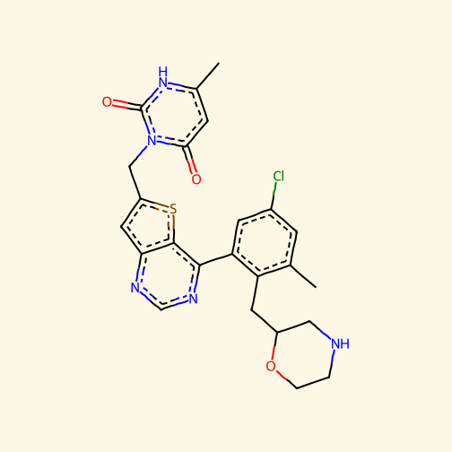 Cc1cc(=O)n(Cc2cc3ncnc(-c4cc(Cl)cc(C)c4CC4CNCCO4)c3s2)c(=O)[nH]1